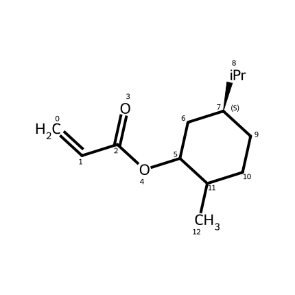 C=CC(=O)OC1C[C@@H](C(C)C)CCC1C